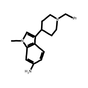 CC(C)CN1CCC(c2cn(C)c3cc(N)ccc23)CC1